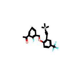 CC(=O)c1cccc(COc2ccc(C(F)(F)F)cc2C#C[Si](C)(C)C)c1F